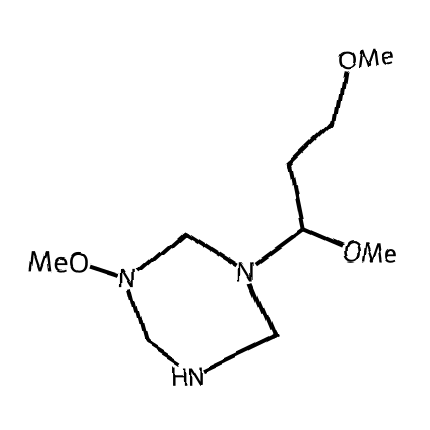 COCCC(OC)N1CNCN(OC)C1